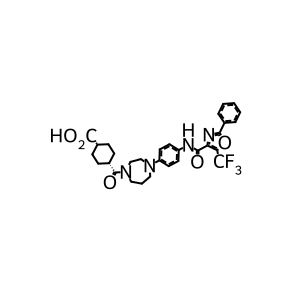 O=C(Nc1ccc(N2CCCN(C(=O)[C@H]3CC[C@@H](C(=O)O)CC3)CC2)cc1)c1nc(-c2ccccc2)oc1C(F)(F)F